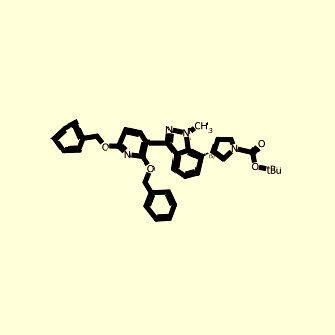 Cn1nc(-c2ccc(OCc3ccccc3)nc2OCc2ccccc2)c2cccc([C@@H]3CCN(C(=O)OC(C)(C)C)C3)c21